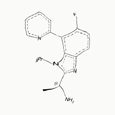 CC(C)n1c([C@H](C)N)nc2ccc(F)c(-c3ccccn3)c21